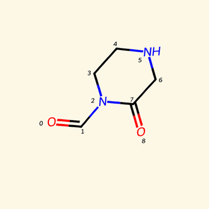 O=CN1CCNCC1=O